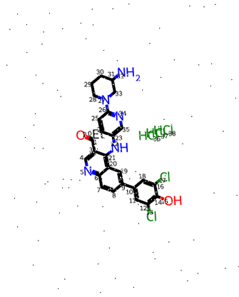 CCC(=O)c1cnc2ccc(-c3cc(Cl)c(O)c(Cl)c3)cc2c1Nc1ccc(N2CCCC(N)C2)nc1.Cl.Cl.Cl